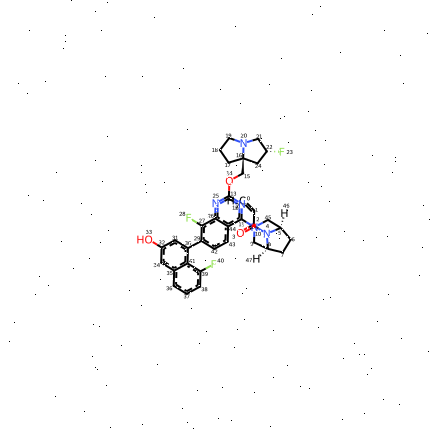 C=CC(=O)N1[C@@H]2CC[C@H]1CN(c1nc(OC[C@@]34CCCN3C[C@H](F)C4)nc3c(F)c(-c4cc(O)cc5cccc(F)c45)ccc13)C2